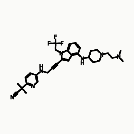 CN(C)CCN1CCC(Nc2cccc3c2cc(C#CCNc2ccc(C(C)(C)C#N)nc2)n3CC(F)(F)F)CC1